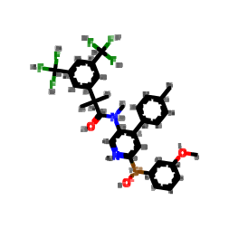 COc1cccc([S+]([O-])c2cc(-c3ccc(C)cc3)c(N(C)C(=O)C(C)(C)c3cc(C(F)(F)F)cc(C(F)(F)F)c3)cn2)c1